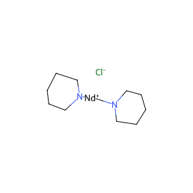 C1CC[N]([Nd+][N]2CCCCC2)CC1.[Cl-]